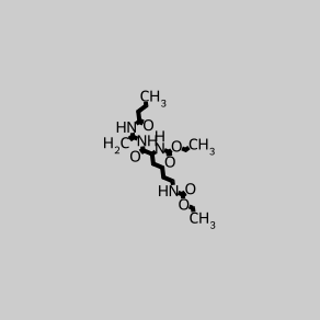 C=C(NC(=O)CCC)NC(=O)C(CCCCNC(=O)OCC)NC(=O)OCC